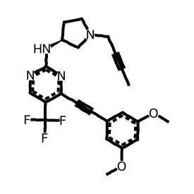 CC#CCN1CC[C@H](Nc2ncc(C(F)(F)F)c(C#Cc3cc(OC)cc(OC)c3)n2)C1